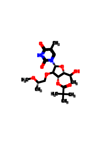 CO[C@@H](C)COC1[C@@H](OC(=O)C(C)(C)C)[C@@H]([C@H](C)O)O[C@H]1n1cc(C)c(=O)[nH]c1=O